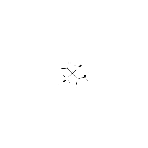 CCC(N(C)C(=O)O)(P(=O)(O)O)P(=O)(O)O